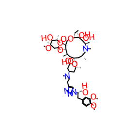 CC[C@H]1OC(=O)[C@H](C)[C@@H](O[C@H]2C[C@@](C)(OC)[C@@H](O)[C@H](C)O2)[C@H](C)[C@@H](O[C@H]2C[C@@H](N(C)CCc3cn([C@H](CO)Cc4ccc(OC)c(OC)c4)nn3)C[C@@H](C)O2)[C@](C)(O)C[C@@H](C)CN(C)[C@H](C)[C@@H](O)[C@]1(C)O